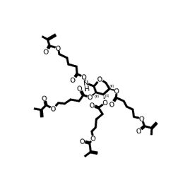 C=C(C)C(=O)OCCCCC(=O)ONC1OC[C@@H](OC(=O)CCCCOC(=O)C(=C)C)[C@H](OC(=O)CCCCOC(=O)C(=C)C)[C@H]1OC(=O)CCCCOC(=O)C(=C)C